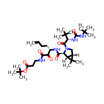 C=CCC[C@H](NC(=O)[C@@H]1[C@@H]2[C@H](CN1C(=O)[C@@H](NC(=O)NC(C)(C)C)C(C)(C)C)C2(C)C)C(=O)C(=O)NCCC(=O)OC(C)(C)C